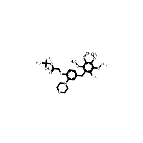 COc1c(C)c(Cc2ccc(OCC(=O)OC(C)(C)C)c(N3CCOCC3)c2)c(OC)c(OC)c1OC